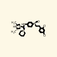 C[C@H]1CN(/C(=C\N2CCCCC2)Nc2ccc(N(C=O)CCc3ccc(Cl)cc3Cl)cc2)C[C@H](C)N1